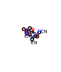 N#Cc1ccc2c(c1)c1ccccc1n2-c1cnc2c(c1)C1(c3ccc(-n4c5ccccc5c5cc(C#N)ncc54)cc3Oc3cccc(-n4c5ccccc5c5cc(C#N)ccc54)c31)c1cccnc1-2